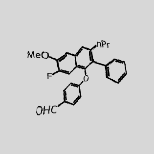 CCCc1cc2cc(OC)c(F)cc2c(Oc2ccc(C=O)cc2)c1-c1ccccc1